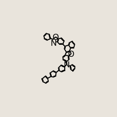 c1ccc(-c2ccc(-c3ccc(N(c4ccccc4)c4ccc5c(c4)oc4c6ccccc6c(-c6ccc7oc(-c8ccccc8)nc7c6)cc54)cc3)cc2)cc1